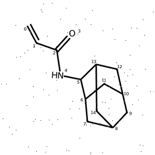 C=CC(=O)NC1C2CC3CC(C2)CC1C3